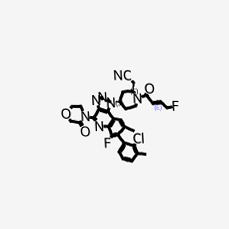 Cc1cccc(-c2c(C)cc3c(nc(N4CCOCC4=O)c4nnn([C@H]5CCN(C(=O)/C=C/CF)[C@H](CC#N)C5)c43)c2F)c1Cl